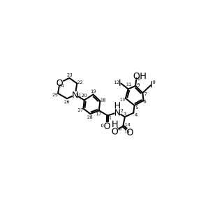 O=C(NC(Cc1cc(I)c(O)c(I)c1)C(=O)O)c1ccc(N2CCOCC2)cc1